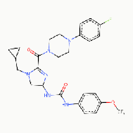 O=C(Nc1ccc(OC(F)(F)F)cc1)NC1CN(CC2CC2)C(C(=O)N2CCN(c3ccc(F)cc3)CC2)=N1